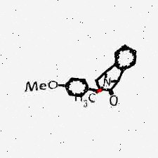 COc1ccc(CN2C3CC(C)C(=O)C2c2ccccc23)cc1